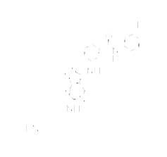 Cc1ccc(C(=O)Nc2cccc(C(F)(F)F)c2)cc1Nc1nn(C)c2nc(NCCCCN)ncc12